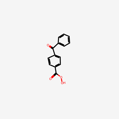 O=C(OO)c1ccc(C(=O)c2ccccc2)cc1